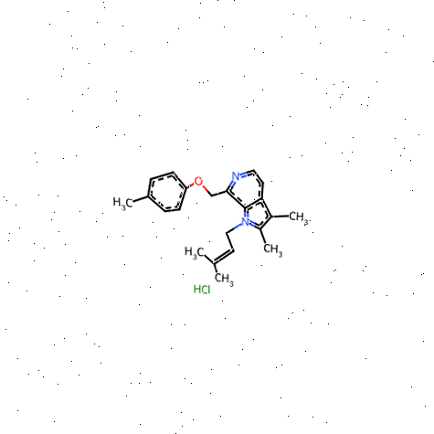 CC(C)=CCn1c(C)c(C)c2ccnc(COc3ccc(C)cc3)c21.Cl